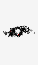 C=CC(=O)N1CC[C@H](C(=O)N(C)[C@H](C(=O)N[C@H]2Cc3nc(cs3)N3CCc4c(c(c(-c5cnn(C)c5[C@H](C)OC)n4CC(F)(F)F)CC(C)(C)COC(=O)[C@@H]4CCCN(N4)C2=O)C3)C(C)C)C1